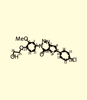 COc1cc(-n2nnc3cc(-c4ccc(Cl)cc4)sc3c2=O)ccc1OCCO